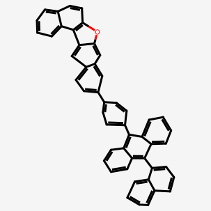 c1ccc2c(-c3c4ccccc4c(-c4ccc(-c5ccc6cc7c(cc6c5)oc5ccc6ccccc6c57)cc4)c4ccccc34)cccc2c1